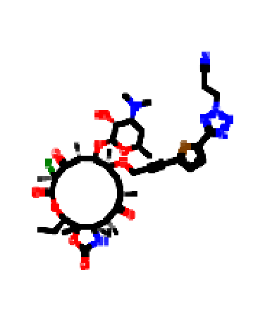 CC[C@H]1OC(=O)[C@@](C)(F)C(=O)[C@H](C)[C@@H](O[C@@H]2O[C@H](C)C[C@H](N(C)C)[C@H]2O)[C@@](C)(OCC#Cc2ccc(-c3nnn(CCC#N)n3)s2)C[C@@H](C)C(=O)[C@H](C)[C@H]2NC(=O)O[C@@]21C